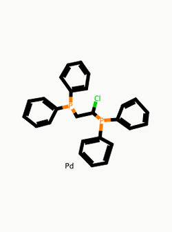 ClC(CP(c1ccccc1)c1ccccc1)P(c1ccccc1)c1ccccc1.[Pd]